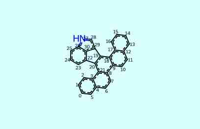 c1ccc2c(c1)ccc1c3ccc4ccccc4c3c3c(c21)-c1cccc2[nH]cc-3c12